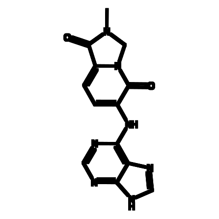 CN1Cn2c(ccc(Nc3ncnc4[nH]cnc34)c2=O)C1=O